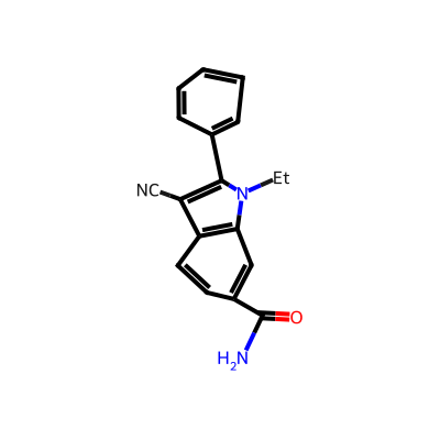 CCn1c(-c2ccccc2)c(C#N)c2ccc(C(N)=O)cc21